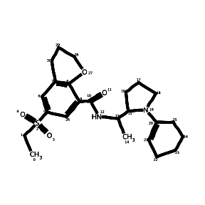 CCS(=O)(=O)c1cc2c(c(C(=O)NC(C)C3CCCN3C3=CCCCC3)c1)OCCC2